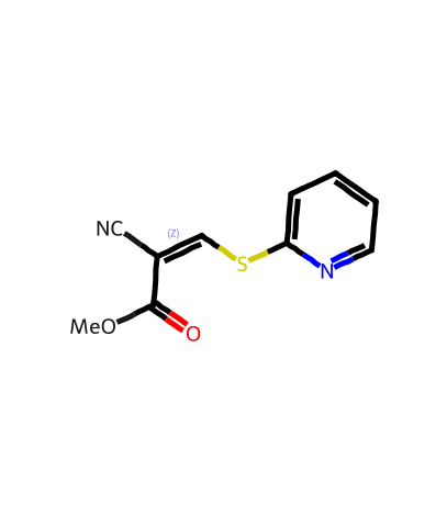 COC(=O)/C(C#N)=C\Sc1ccccn1